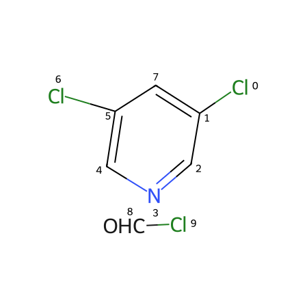 Clc1cncc(Cl)c1.O=CCl